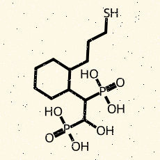 O=P(O)(O)C(O)C(C1CCCCC1CCCS)P(=O)(O)O